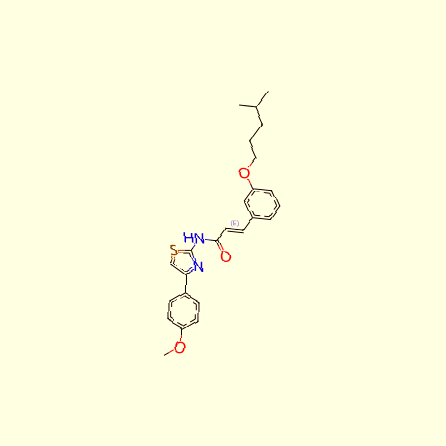 COc1ccc(-c2csc(NC(=O)/C=C/c3cccc(OCCCC(C)C)c3)n2)cc1